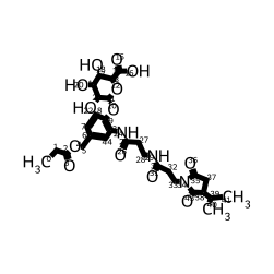 CCC(=O)OCc1ccc(O[C@@H]2OC(C(=O)O)[C@@H](O)C(O)C2O)c(NC(=O)CCNC(=O)CCN2C(=O)CC(C(C)C)C2=O)c1